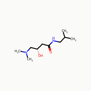 CC(C)CNC(=O)C[C@H](O)CN(C)C